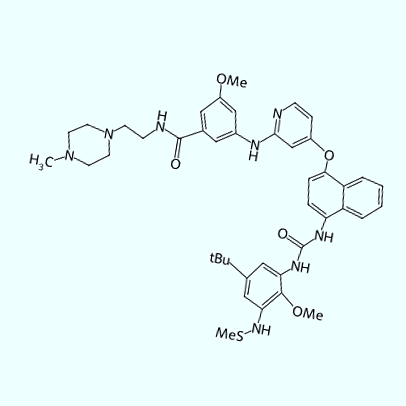 COc1cc(Nc2cc(Oc3ccc(NC(=O)Nc4cc(C(C)(C)C)cc(NSC)c4OC)c4ccccc34)ccn2)cc(C(=O)NCCN2CCN(C)CC2)c1